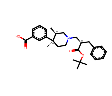 C[C@H]1CN(C[C@@H](Cc2ccccc2)C(=O)OC(C)(C)C)CC[C@@]1(C)c1cccc(C(=O)O)c1